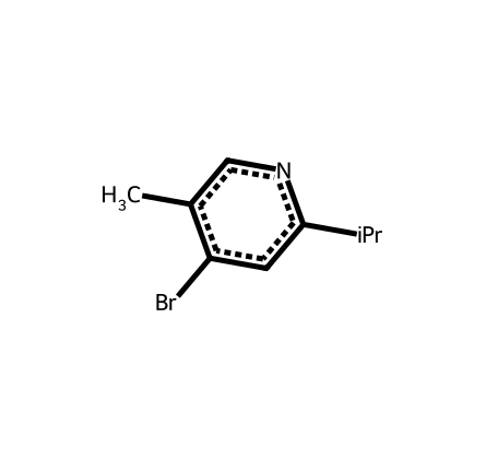 Cc1cnc(C(C)C)cc1Br